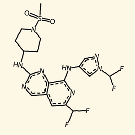 CS(=O)(=O)N1CCC(Nc2ncc3cc(C(F)F)nc(Nc4cnn(C(F)F)c4)c3n2)CC1